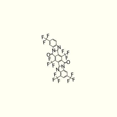 O=c1c2c(C(F)(F)F)c3c(c(C(F)(F)F)c2c2nc4ccc(C(F)(F)F)cc4n12)c(=O)n1c2cc(C(F)(F)F)cc(C(F)(F)F)c2nc31